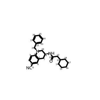 N#Cc1ccc2c(c1)C[C@H](NC(=O)CC1CCCCC1)CN2Cc1ccccc1